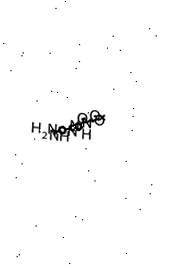 CC(C)(C)OC(=O)CCNC(=O)c1ccc2nc(-c3ccc(C(=N)N)cc3)cn2c1